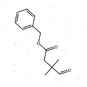 CC(C)(C=O)CC(=O)OCc1ccccc1